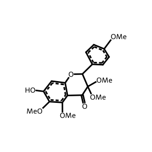 COc1ccc(C2Oc3cc(O)c(OC)c(OC)c3C(=O)C2(OC)OC)cc1